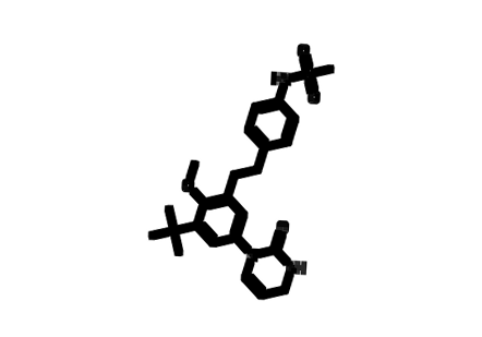 COc1c(CCc2ccc(NS(C)(=O)=O)cc2)cc(N2C=CCNC2=O)cc1C(C)(C)C